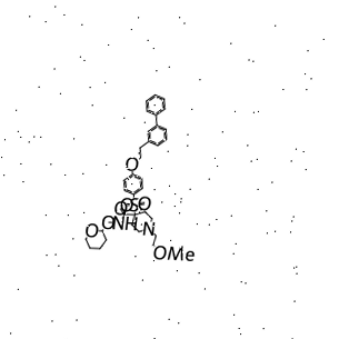 COCCN1CCC(C(=O)NOC2CCCCO2)(S(=O)(=O)c2ccc(OCCc3cccc(-c4ccccc4)c3)cc2)CC1